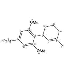 CCCCCc1cc(OC)c(C2C=C(C)CCC2)c(OC)c1